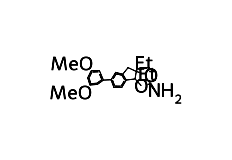 CCC1(CC)Cc2cc(-c3cc(OC)cc(OC)c3)ccc2C1OC(N)=O